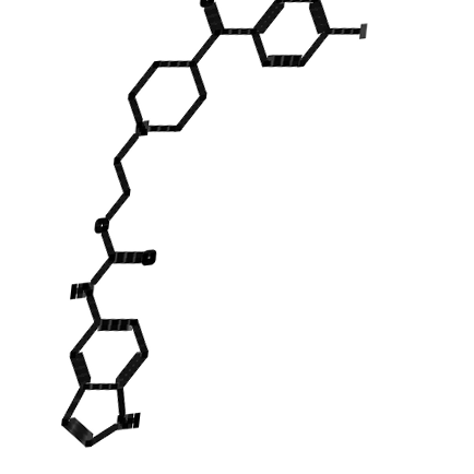 O=C(Nc1ccc2[nH]ccc2c1)OCCN1CCC(C(=O)c2ccc(I)cc2)CC1